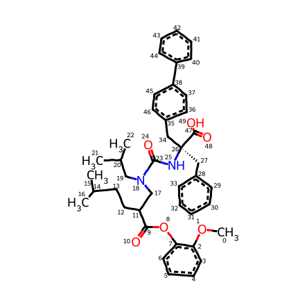 COc1ccccc1OC(=O)C(CCC(C)C)CN(CC(C)C)C(=O)N[C@@](Cc1ccccc1)(Cc1ccc(-c2ccccc2)cc1)C(=O)O